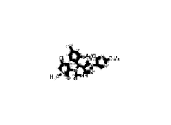 COc1ncc(-n2nc3c(c2C(C)C)C(c2ccc(Cl)cc2C)N(c2cc(Cl)cn(C)c2=O)C(=O)N3)c(OC)n1